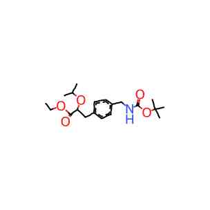 CCOC(=O)C(Cc1ccc(CNC(=O)OC(C)(C)C)cc1)OC(C)C